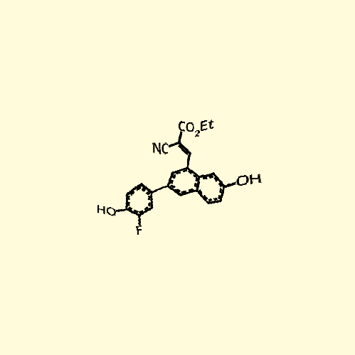 CCOC(=O)C(C#N)=Cc1cc(-c2ccc(O)c(F)c2)cc2ccc(O)cc12